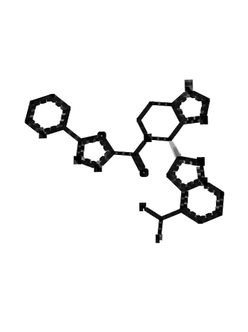 O=C(c1nnc(-c2ccccn2)o1)N1CCc2[nH]cnc2[C@@H]1c1cc2c(C(F)F)cccn2n1